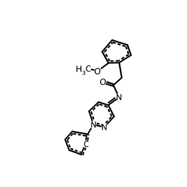 COc1ccccc1CC(=O)N=c1ccn(-c2ccccc2)nc1